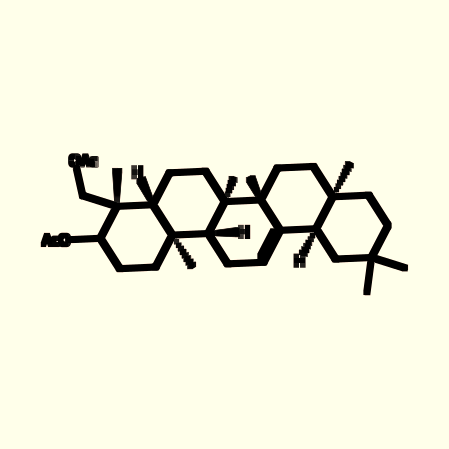 CC(=O)OC[C@@]1(C)C(OC(C)=O)CC[C@@]2(C)[C@H]1CC[C@]1(C)[C@@H]2CC=C2[C@@H]3CC(C)(C)CC[C@]3(C)CC[C@]21C